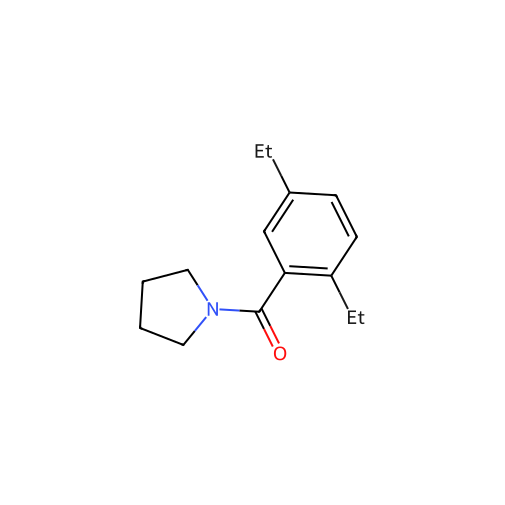 CCc1ccc(CC)c(C(=O)N2CCCC2)c1